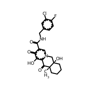 C[C@]12CCCC[C@@]1(O)Cn1cc(C(=O)NCc3ccc(F)c(Cl)c3)c(=O)c(O)c1C2=O